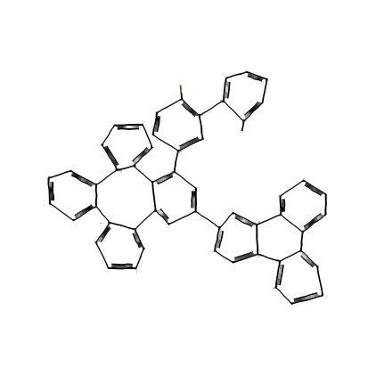 Cc1ccccc1-c1cc(-c2cc(-c3ccc4c5ccccc5c5ccccc5c4c3)cc3c2-c2ccccc2-c2ccccc2-c2ccccc2-3)ccc1S